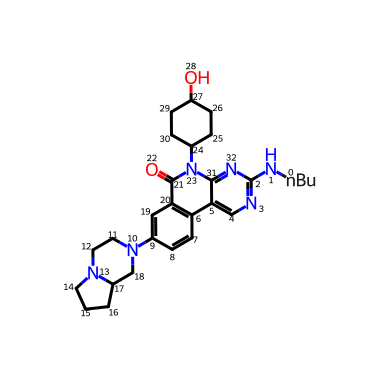 CCCCNc1ncc2c3ccc(N4CCN5CCCC5C4)cc3c(=O)n(C3CCC(O)CC3)c2n1